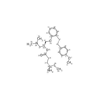 COc1ccc(CCc2ccccc2OC[C@H](CN(C)C)OC(=O)CC[C@H](N)SC)cc1